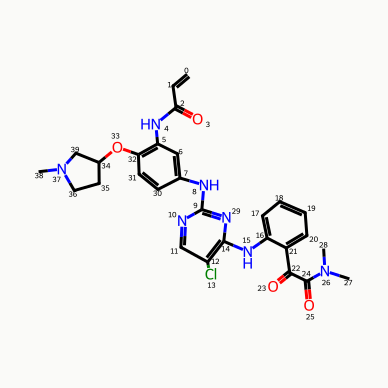 C=CC(=O)Nc1cc(Nc2ncc(Cl)c(Nc3ccccc3C(=O)C(=O)N(C)C)n2)ccc1OC1CCN(C)C1